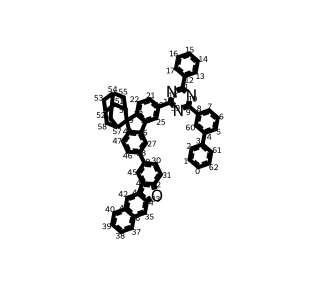 c1ccc(-c2cccc(-c3nc(-c4ccccc4)nc(-c4ccc5c(c4)-c4cc(-c6ccc7oc8cc9ccccc9cc8c7c6)ccc4C54C5CC6CC(C5)CC4C6)n3)c2)cc1